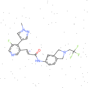 Cn1cc(-c2c(F)cncc2/C=C/C(=O)Nc2ccc3c(c2)CN(CC(F)(F)F)C3)cn1